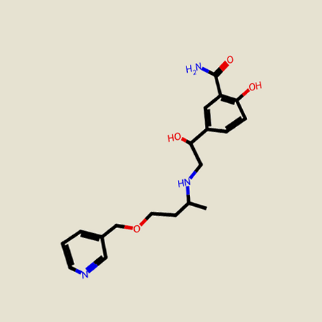 CC(CCOCc1cccnc1)NCC(O)c1ccc(O)c(C(N)=O)c1